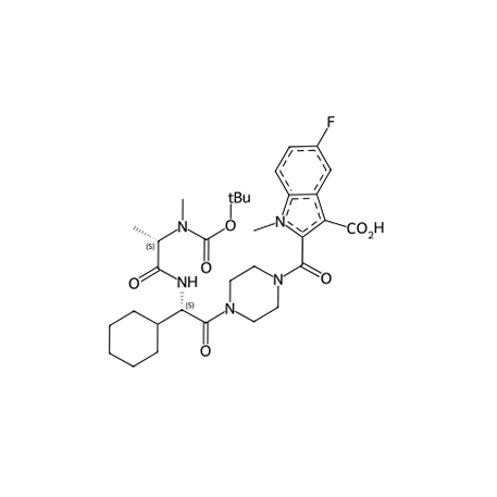 C[C@@H](C(=O)N[C@H](C(=O)N1CCN(C(=O)c2c(C(=O)O)c3cc(F)ccc3n2C)CC1)C1CCCCC1)N(C)C(=O)OC(C)(C)C